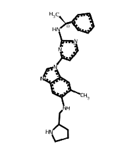 Cc1cc2c(cc1NCC1CCCN1)ncn2-c1ccnc(N[C@@H](C)c2ccccc2)n1